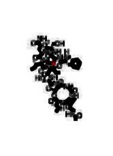 CC[C@H](C)[C@H](NC(=O)[C@@H](Cc1ccccc1)NC)C(=O)N[C@@H](CO)C(=O)N[C@H](CCC(N)=O)C(=O)N[C@@H](C(=O)N[C@H](C(=O)N[C@@H](CO)C(=O)N[C@H]1C(=O)N[C@@H](C)C(=O)NC2(CC2CCNC(C)=O)C(=O)N[C@@H]([C@@H](C)CC)C(=O)O[C@H]1C)[C@@H](C)CC)[C@@H](C)CC